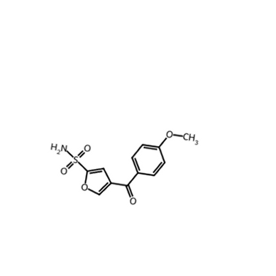 COc1ccc(C(=O)c2coc(S(N)(=O)=O)c2)cc1